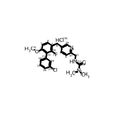 COc1ccc(Cc2ccc(CNC(=O)N(C)C)nc2)c(F)c1-c1cccc(Cl)c1.Cl